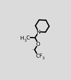 CC(O[CH]C(F)(F)F)N1CCCCC1